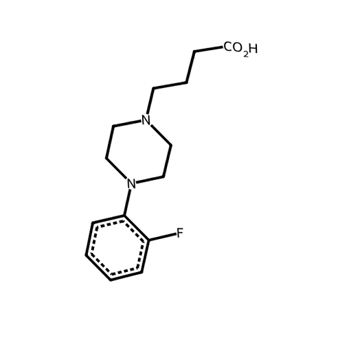 O=C(O)CCCN1CCN(c2ccccc2F)CC1